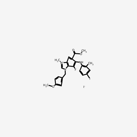 COC(=O)c1cc2c(c(F)c1Nc1ccc(I)cc1C)n(Cc1ccc(OC)cc1)c[n+]2C.[I-]